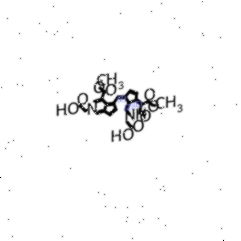 COC(=O)\C(C=O)=C1C=CC(=C/c2ccc3cn(CC(=O)O)cc(C(=O)OC)c2-3)/C/1=C/NCC(=O)O